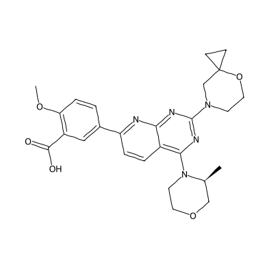 COc1ccc(-c2ccc3c(N4CCOC[C@@H]4C)nc(N4CCOC5(CC5)C4)nc3n2)cc1C(=O)O